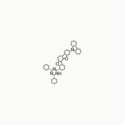 c1ccc(C2=NC(c3ccccc3)NC(c3cccc4c3oc3ccc5c6ccc(-n7c8ccccc8c8ccccc87)cc6oc5c34)=N2)cc1